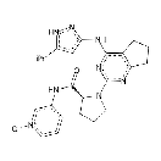 CC(C)c1cc(Nc2nc(N3CCC[C@H]3C(=O)Nc3ccc[n+]([O-])c3)nc3c2CCC3)n[nH]1